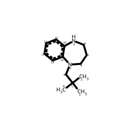 CC(C)(C)CN1CCCNc2ccccc21